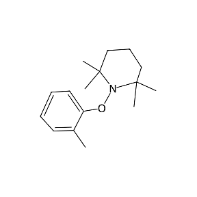 Cc1ccccc1ON1C(C)(C)CCCC1(C)C